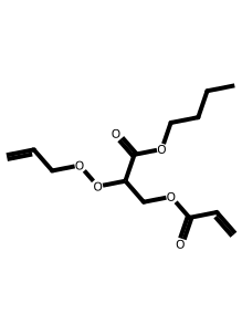 C=CCOOC(COC(=O)C=C)C(=O)OCCCC